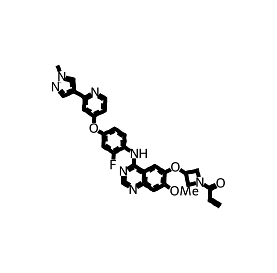 C=CC(=O)N1CC(Oc2cc3c(Nc4ccc(Oc5ccnc(-c6cnn(C)c6)c5)cc4F)ncnc3cc2OC)C1